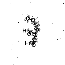 Cc1cc(-c2cccs2)sc1-c1ccc(-c2ccc(-c3sc(-c4ccc(C(=O)O)s4)cc3CC(=O)O)s2)s1